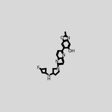 Cc1nc2cc(O)c(-c3ccc4nc(N5CCC(NC6CC(F)C6)C5)ccc4n3)cc2o1